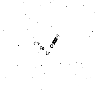 O=[P].[Co].[Fe].[Li]